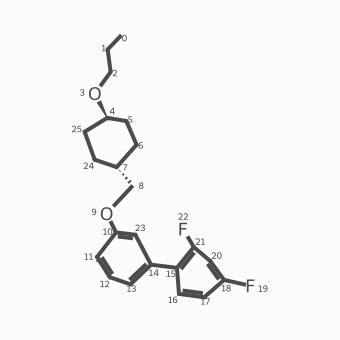 CCCO[C@H]1CC[C@H](COc2[c]ccc(-c3ccc(F)cc3F)c2)CC1